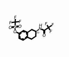 O=C(N[C@H]1CCc2ccc(OS(=O)(=O)C(F)(F)F)cc2C1)C(F)(F)F